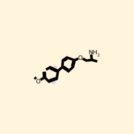 C=C(/C=C\C(=C/C)c1ccc(OCC(C)N)cc1)OC